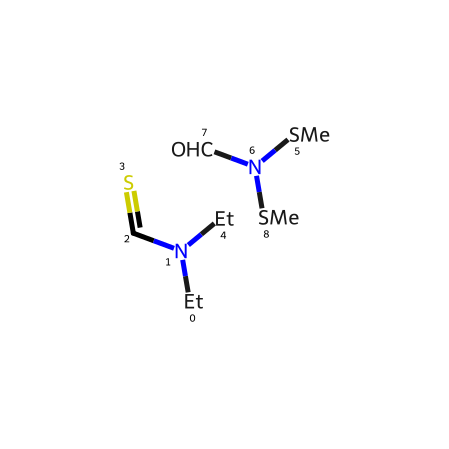 CCN(C=S)CC.CSN(C=O)SC